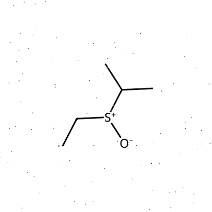 [CH2]C[S+]([O-])C(C)C